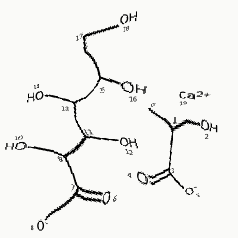 CC(O)C(=O)[O-].O=C([O-])C(O)C(O)C(O)C(O)CO.[Ca+2]